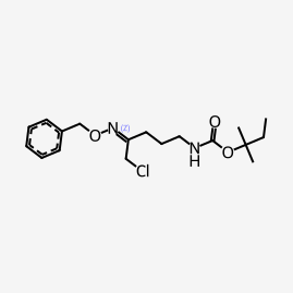 CCC(C)(C)OC(=O)NCCC/C(CCl)=N/OCc1ccccc1